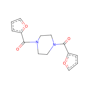 O=C(c1ccco1)N1CCN(C(=O)c2ccco2)CC1